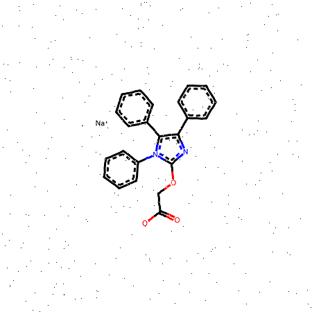 O=C([O-])COc1nc(-c2ccccc2)c(-c2ccccc2)n1-c1ccccc1.[Na+]